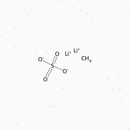 C.O=S(=O)([O-])[O-].[Li+].[Li+]